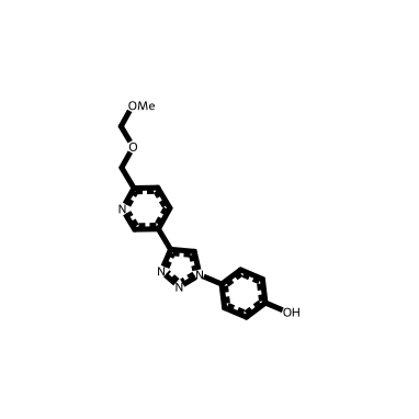 COCOCc1ccc(-c2cn(-c3ccc(O)cc3)nn2)cn1